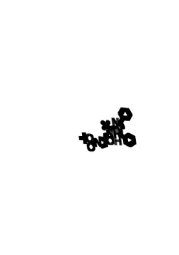 CC(C)(C)OC(=O)N1CCC(O)(CN[C@@H](c2nc(-c3ccccc3)cn2Cc2ccccc2)C(C)(C)C)C1